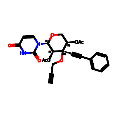 C#CCO[C@]1(C#Cc2ccccc2)[C@H](OC(C)=O)CO[C@@H](n2ccc(=O)[nH]c2=O)[C@@H]1OC(C)=O